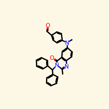 Cc1nc2ccc(N(C)c3ccc(C=O)cc3)cc2c(=O)n1C(c1ccccc1)c1ccccc1